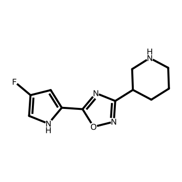 Fc1c[nH]c(-c2nc(C3CCCNC3)no2)c1